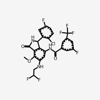 COc1c(NCC(F)F)cc(NC(=O)c2cc(F)cc(C(F)(F)F)c2)c2c1C(=O)NC2c1cc(F)ccc1Cl